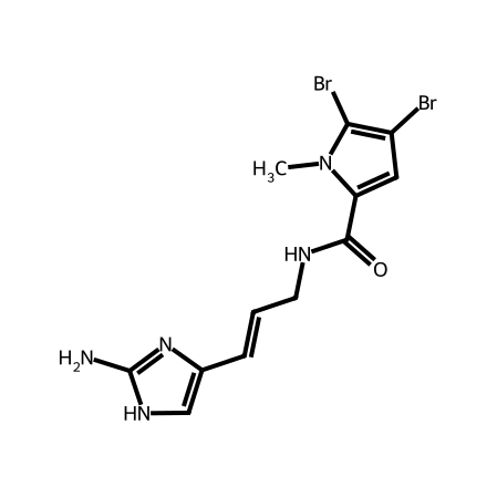 Cn1c(C(=O)NC/C=C/c2c[nH]c(N)n2)cc(Br)c1Br